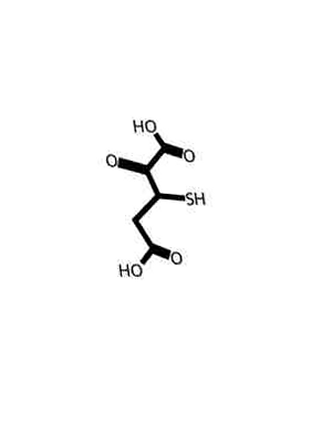 O=C(O)CC(S)C(=O)C(=O)O